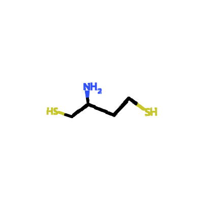 N[C@H](CS)CCS